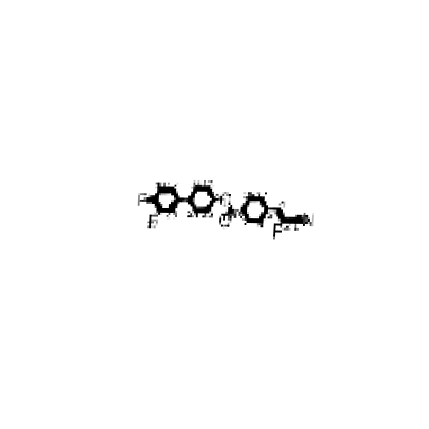 N#CC(F)=C[C@H]1CC[C@H](C(=O)O[C@H]2CC[C@H](c3ccc(F)c(F)c3)CC2)CC1